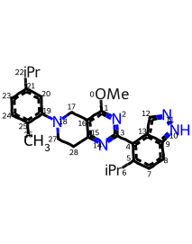 COc1nc(-c2c(C(C)C)ccc3[nH]ncc23)nc2c1CN(c1cc(C(C)C)ccc1C)CC2